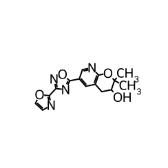 CC1(C)Oc2ncc(-c3nc(-c4ncco4)no3)cc2CC1O